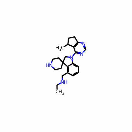 CCNCc1cccc2c1C1(CCNCC1)CN2c1ncnc2c1C(C)CC2